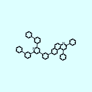 c1ccc(-c2cccc(-c3cc(-c4cccc(-c5ccc6c(ccc7nc(-c8ccccc8)cc(-c8ccccc8)c76)c5)c4)cc(-c4cccc(-c5ccccc5)c4)n3)c2)cc1